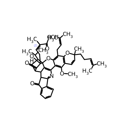 COC(=O)/C(C)=C\CC1(O)C(=O)C2CC(C(C)C)C13Oc1c(CC=C(C)C)c4c(c(OC)c1C1=C3C2C2C(=O)c3ccccc3C2=N1)C=CC(C)(CCC=C(C)C)O4